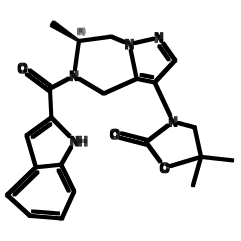 C[C@H]1Cn2ncc(N3CC(C)(C)OC3=O)c2CN1C(=O)c1cc2ccccc2[nH]1